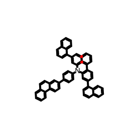 c1ccc(-c2ccc(-c3cccc4ccccc34)cc2N(c2ccc(-c3ccc4c(ccc5ccccc54)c3)cc2)c2cccc(-c3cccc4ccccc34)c2)cc1